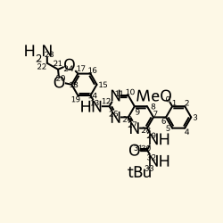 COc1ccccc1-c1cc2cnc(Nc3ccc4c(c3)OC(CN)O4)nc2nc1NC(=O)NC(C)(C)C